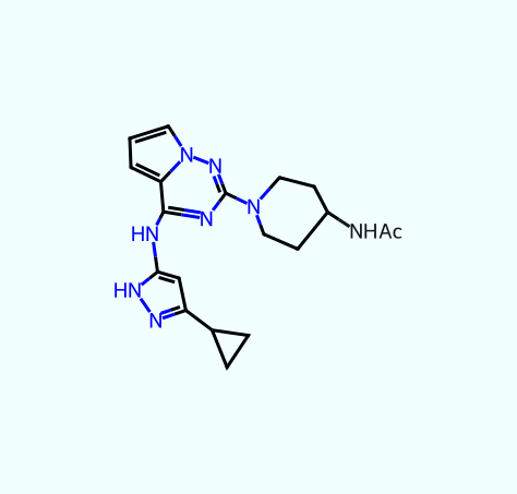 CC(=O)NC1CCN(c2nc(Nc3cc(C4CC4)n[nH]3)c3cccn3n2)CC1